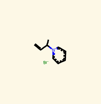 C=CC(C)[n+]1ccccc1.[Br-]